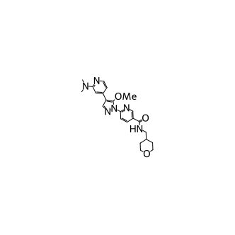 COc1c(-c2ccnc(N(C)C)c2)cnn1-c1ccc(C(=O)NCC2CCOCC2)cn1